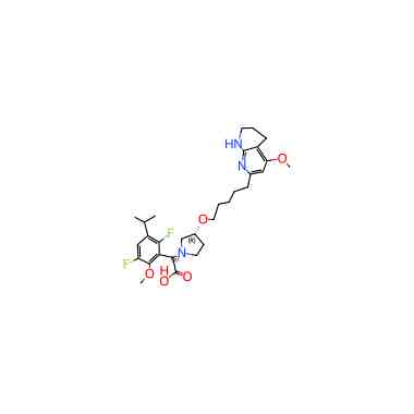 COc1cc(CCCCCO[C@@H]2CCN([C@H](C(=O)O)c3c(F)c(C(C)C)cc(F)c3OC)C2)nc2c1CCCN2